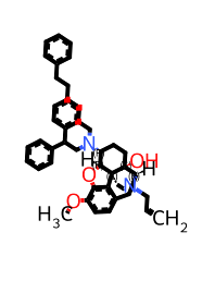 C=CCN1CC[C@]23c4c5ccc(OC)c4O[C@H]2[C@H](N(CCCCCCc2ccccc2)CC(c2ccccc2)c2ccccc2)CC[C@@]3(O)[C@H]1C5